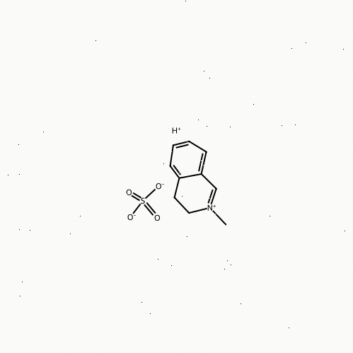 C[N+]1=Cc2ccccc2CC1.O=S(=O)([O-])[O-].[H+]